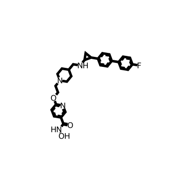 O=C(NO)c1ccc(OCCN2CCC(CNC3CC3c3ccc(-c4ccc(F)cc4)cc3)CC2)nc1